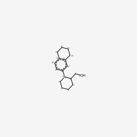 OCC1CCCCN1c1ccc2c(c1)CCCC2